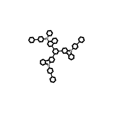 c1ccc(-c2ccc(N(c3ccccc3)c3ccc(-c4cc(-c5ccc6c(c5)c5ccccc5n6-c5ccc(-c6ccccc6)cc5)cc(-c5ccc6c(c5)c5ccccc5n6-c5ccc(-c6ccccc6)cc5)c4)c4ccccc34)cc2)cc1